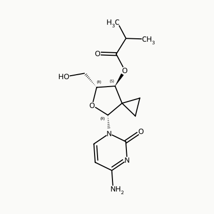 CC(C)C(=O)O[C@@H]1[C@@H](CO)O[C@@H](n2ccc(N)nc2=O)C12CC2